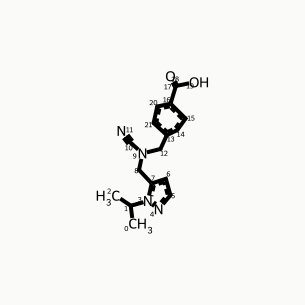 CC(C)n1nccc1CN(C#N)Cc1ccc(C(=O)O)cc1